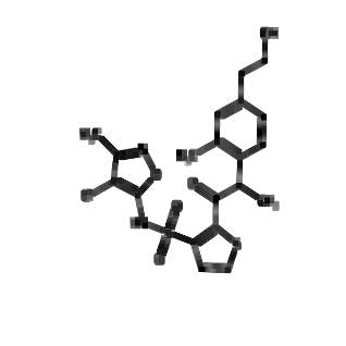 Cc1cc(CCO)ccc1C(C)C(=O)c1sccc1S(=O)(=O)Nc1onc(C)c1Cl